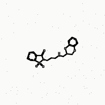 O=C1c2ccccc2S(=O)(=O)N1CCCNCC1COc2ccccc2O1